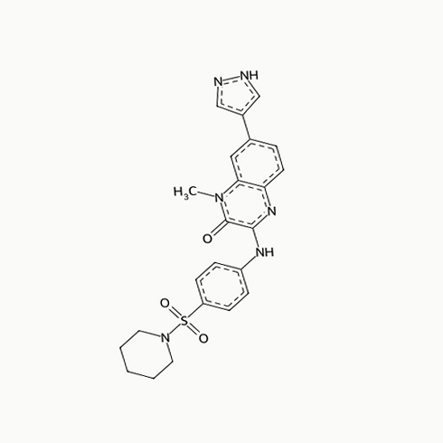 Cn1c(=O)c(Nc2ccc(S(=O)(=O)N3CCCCC3)cc2)nc2ccc(-c3cn[nH]c3)cc21